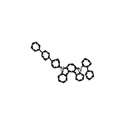 c1ccc(-c2ccc(-c3ccc(-n4c5ccccc5c5c6c7ccccc7n(-c7ccccc7-c7ccccc7)c6ccc54)cc3)cc2)cc1